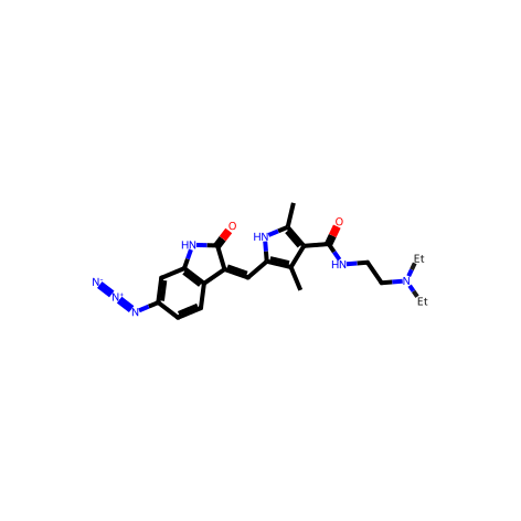 CCN(CC)CCNC(=O)c1c(C)[nH]c(/C=C2\C(=O)Nc3cc(N=[N+]=[N-])ccc32)c1C